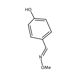 CO/N=C/c1ccc(O)cc1